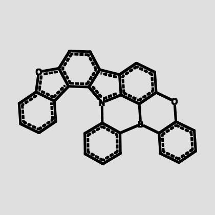 c1ccc2c(c1)Oc1ccc3c4ccc5oc6ccccc6c5c4n4c3c1B2c1ccccc1-4